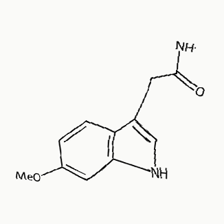 COc1ccc2c(CC([NH])=O)c[nH]c2c1